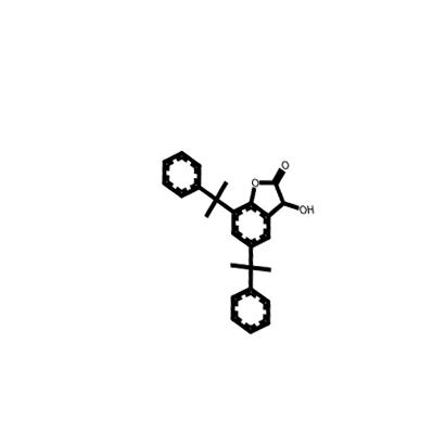 CC(C)(c1ccccc1)c1cc2c(c(C(C)(C)c3ccccc3)c1)OC(=O)C2O